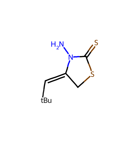 CC(C)(C)/C=C1\CSC(=S)N1N